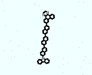 C1=CC2c3ccccc3N(c3ccc4cc(-c5ccc6cc(-c7ccc8cc(-c9ccc%10c(c9)c9ccccc9c9nccnc%109)ccc8c7)ccc6c5)ccc4c3)C2C=C1